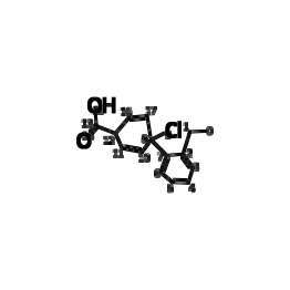 CCc1ccccc1C1(Cl)C=CC(C(=O)O)C=C1